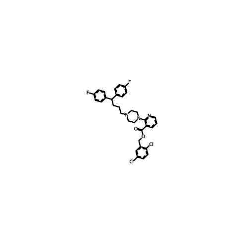 O=C(OCc1cc(Cl)ccc1Cl)c1cccnc1N1CCN(CCCC(c2ccc(F)cc2)c2ccc(F)cc2)CC1